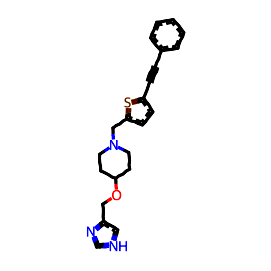 C(#Cc1ccc(CN2CCC(OCc3c[nH]cn3)CC2)s1)c1ccccc1